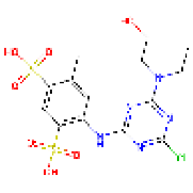 CCN(CCO)c1nc(Cl)nc(Nc2cc(C)c(S(=O)(=O)O)cc2S(=O)(=O)O)n1